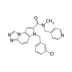 CN(Cc1ccncc1)C(=O)c1cc2c(ccc3nncn32)n1Cc1cccc(Cl)c1